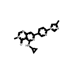 Cc1cn(-c2ccc(-c3cc4ncn(C)c(=O)c4c(NC4CC4)n3)cn2)cn1